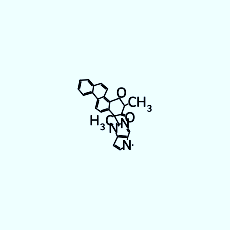 CC1C(=O)c2c(ccc3c2ccc2ccccc23)C(C)(c2ncc3c(n2)C=C[N]3)C1=O